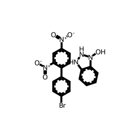 O=[N+]([O-])c1ccc(-c2ccc(Br)cc2)c([N+](=O)[O-])c1.ON1NNc2ccccc21